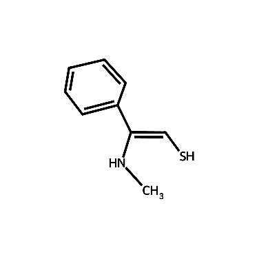 CN/C(=C\S)c1ccccc1